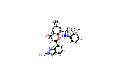 Cc1cc(C(C)Nc2ccccc2C(=O)O)c2oc(-c3cccc4cn(C)nc34)cc(=O)c2c1